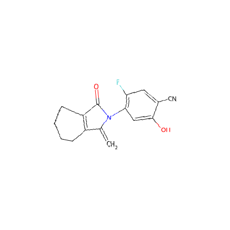 C=C1C2=C(CCCC2)C(=O)N1c1cc(O)c(C#N)cc1F